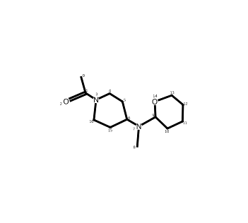 CC(=O)N1CCC(N(C)C2CCCCO2)CC1